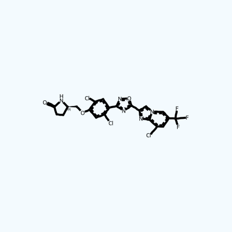 O=C1CC[C@H](COc2cc(Cl)c(-c3noc(-c4cn5cc(C(F)(F)F)cc(Cl)c5n4)n3)cc2Cl)N1